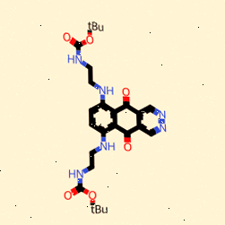 CC(C)(C)OC(=O)NCCNc1ccc(NCCNC(=O)OC(C)(C)C)c2c1C(=O)c1cnncc1C2=O